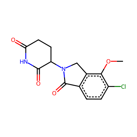 COc1c(Cl)ccc2c1CN(C1CCC(=O)NC1=O)C2=O